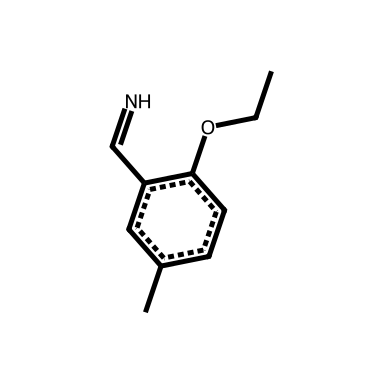 CCOc1ccc(C)cc1C=N